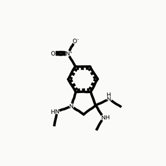 CNN1CC(NC)(NC)c2ccc([N+](=O)[O-])cc21